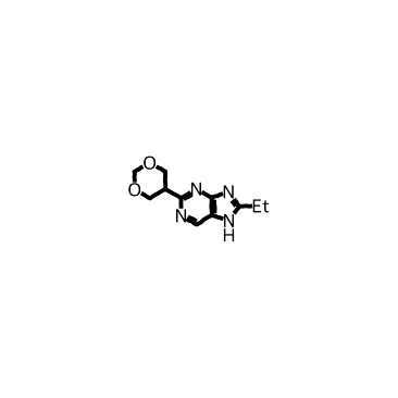 CCc1nc2nc(C3COCOC3)ncc2[nH]1